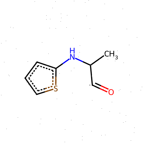 CC([C]=O)Nc1cccs1